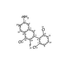 Nc1cc2cc(-c3c(Cl)cccc3Cl)c(F)c(Cl)c2cn1